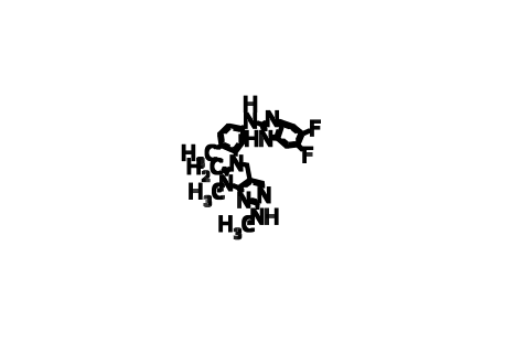 C=C1N(C)c2nc(NC)ncc2CN1c1cc(Nc2nc3cc(F)c(F)cc3[nH]2)ccc1C